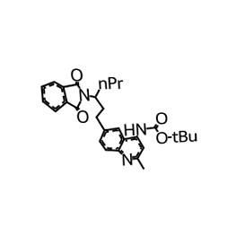 CCCC(CCc1ccc2nc(C)cc(NC(=O)OC(C)(C)C)c2c1)N1C(=O)c2ccccc2C1=O